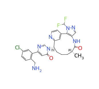 C[C@@H]1CCC[C@H](n2cnc(-c3cc(Cl)ccc3CN)cc2=O)c2cc(ccn2)-c2c(cnn2C(F)F)NC1=O